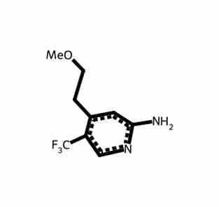 COCCc1cc(N)ncc1C(F)(F)F